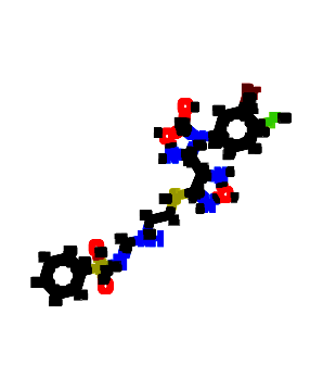 O=c1onc(-c2nonc2SCCN/C=N/S(=O)(=O)c2ccccc2)n1-c1ccc(F)c(Br)c1